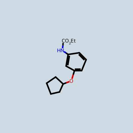 CCOC(=O)Nc1cccc(OC2CCCC2)c1